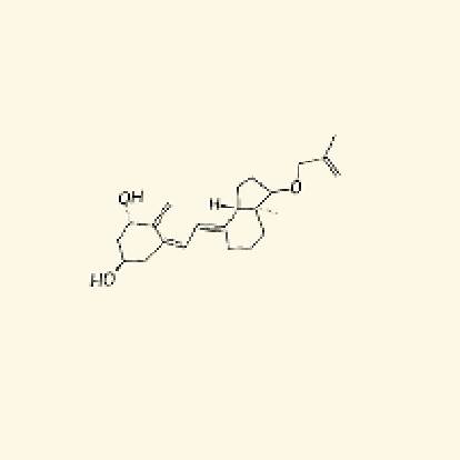 C=C(C)COC1CC[C@H]2/C(=C/C=C3/C[C@@H](O)C[C@H](O)C3=C)CCC[C@]12C